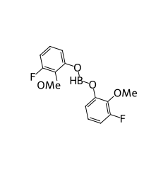 COc1c(F)cccc1OBOc1cccc(F)c1OC